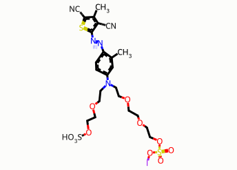 Cc1cc(N(CCOCCOCCOS(=O)(=O)OI)CCOCCOS(=O)(=O)O)ccc1/N=N/c1sc(C#N)c(C)c1C#N